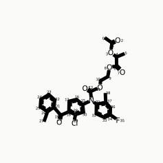 CC(=O)OC(C)C(=O)OCCOC(=O)N(c1ccc(C(=O)c2ccccc2C)c(Cl)c1)c1ccc(F)cc1C